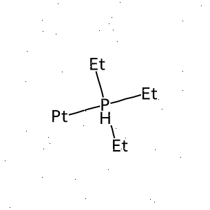 CC[PH]([Pt])(CC)CC